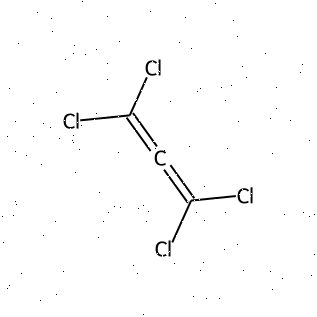 ClC(Cl)=C=C(Cl)Cl